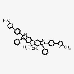 Cc1ccc(-c2ccc(-c3nc4cc5c(cc4n3-c3ccccc3)C(C)(C)c3cc4c(cc3-5)nc(-c3ccc(C5=CCC(C)S5)cc3)n4-c3ccccc3)cc2)s1